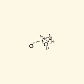 COc1cccc([C@@]23CCN(C)C[C@H]2C(OC)C[C@H](N(CC(C)C)C(=O)CCCCCc2ccccc2)C3)c1